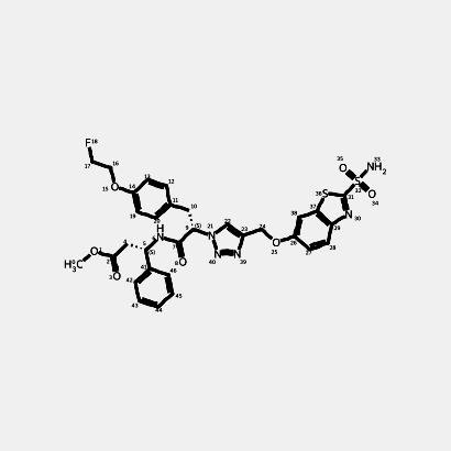 COC(=O)C[C@H](NC(=O)[C@H](Cc1ccc(OCCF)cc1)n1cc(COc2ccc3nc(S(N)(=O)=O)sc3c2)nn1)c1ccccc1